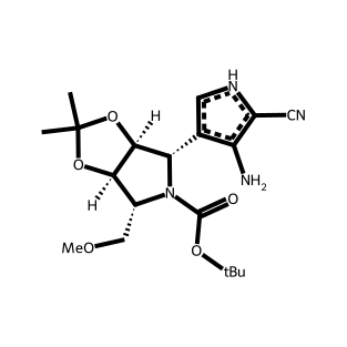 COC[C@@H]1[C@H]2OC(C)(C)O[C@H]2[C@H](c2c[nH]c(C#N)c2N)N1C(=O)OC(C)(C)C